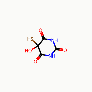 O=C1NC(=O)C(O)(S)C(=O)N1